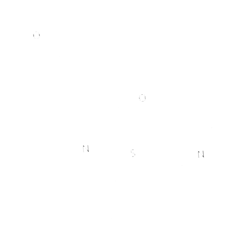 CN1CCC(OC(c2ccc3occc3c2)c2nc3ccccc3s2)CC1